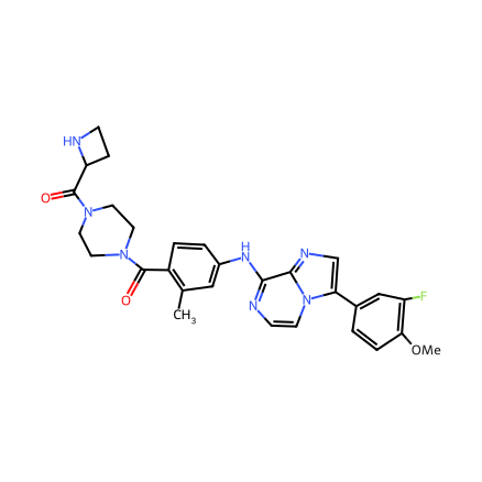 COc1ccc(-c2cnc3c(Nc4ccc(C(=O)N5CCN(C(=O)C6CCN6)CC5)c(C)c4)nccn23)cc1F